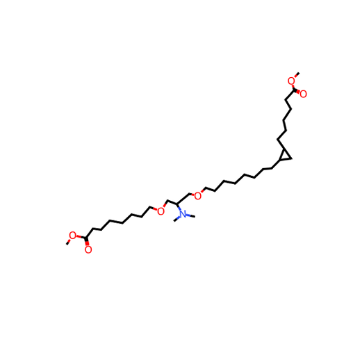 COC(=O)CCCCCCCOCC(COCCCCCCCCC1CC1CCCCCC(=O)OC)N(C)C